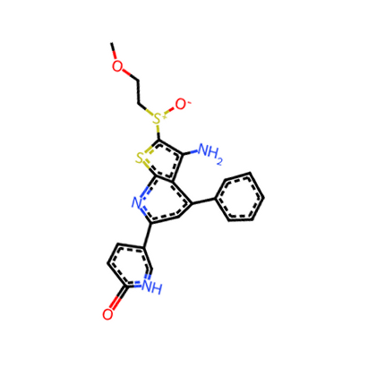 COCC[S+]([O-])c1sc2nc(-c3ccc(=O)[nH]c3)cc(-c3ccccc3)c2c1N